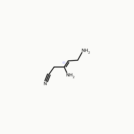 N#CC/C(N)=C/CN